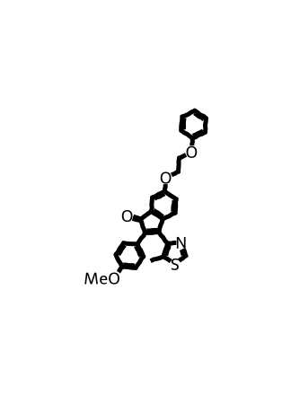 COc1ccc(C2=C(c3ncsc3C)c3ccc(OCCOc4ccccc4)cc3C2=O)cc1